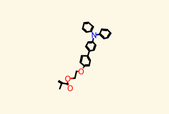 C=C(C)C(=O)OCCOc1ccc(-c2ccc(N(c3ccccc3)c3ccccc3)cc2)cc1